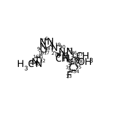 C[C@@H]1CN(c2ncnn3cc(-c4cnn(C)c4)cc23)CCN1c1ncc([C@@](C)(O)c2ccc(F)cc2)cn1